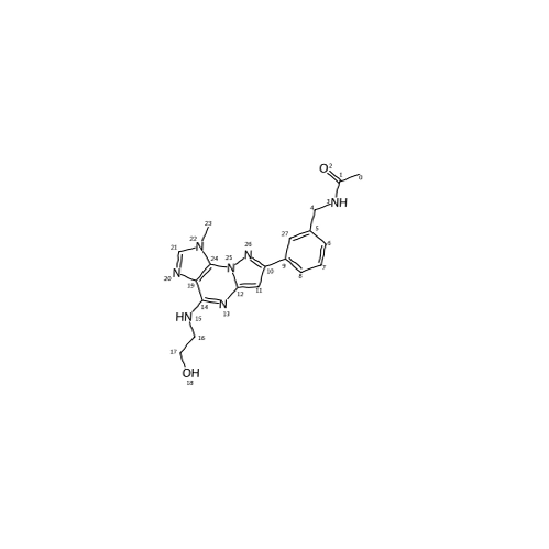 CC(=O)NCc1cccc(-c2cc3nc(NCCO)c4ncn(C)c4n3n2)c1